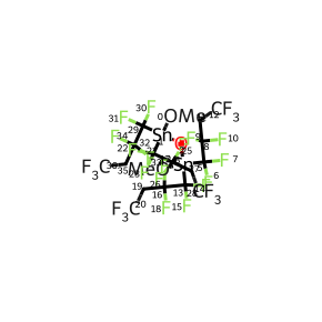 C[O][Sn]([O][Sn]([O]C)([C](F)(F)C(F)(F)CC(F)(F)F)[C](F)(F)C(F)(F)CC(F)(F)F)([C](F)(F)C(F)(F)CC(F)(F)F)[C](F)(F)C(F)(F)CC(F)(F)F